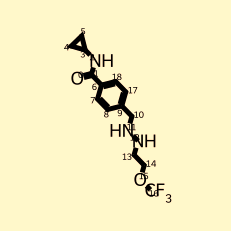 O=C(NC1CC1)c1ccc(CNNCCOC(F)(F)F)cc1